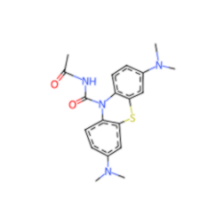 CC(=O)NC(=O)N1c2ccc(N(C)C)cc2Sc2cc(N(C)C)ccc21